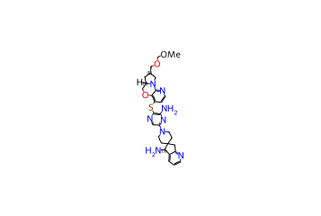 COCOC[C@@H]1C[C@H]2COc3c(Sc4ncc(N5CCC6(CC5)Cc5ncccc5[C@H]6N)nc4N)ccnc3N2C1